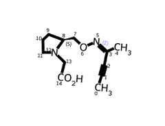 CC#C/C(C)=N\OC[C@@H]1CCCN1CC(=O)O